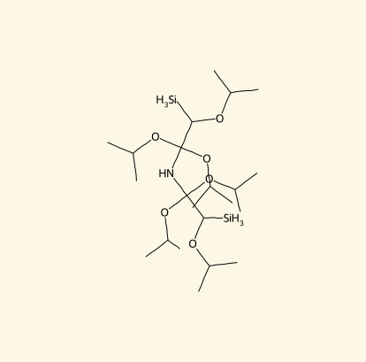 CC(C)OC([SiH3])C(NC(OC(C)C)(OC(C)C)C([SiH3])OC(C)C)(OC(C)C)OC(C)C